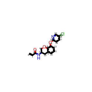 C=CC(=O)NC1COc2c(cccc2Oc2ccc(Cl)cn2)C1